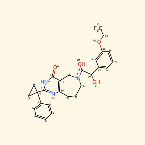 O=c1[nH]c(C2(c3ccccc3)CC2)nc2c1CN(C(O)C(O)c1cccc(OCC(F)(F)F)c1)CCC2